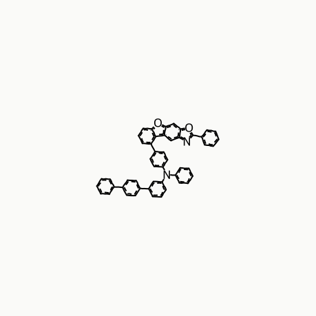 c1ccc(-c2ccc(-c3cccc(N(c4ccccc4)c4ccc(-c5cccc6oc7cc8oc(-c9ccccc9)nc8cc7c56)cc4)c3)cc2)cc1